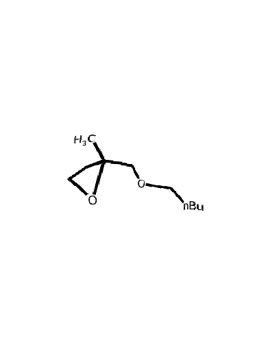 CCCCCOCC1(C)CO1